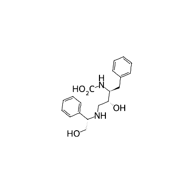 O=C(O)N[C@@H](Cc1ccccc1)[C@H](O)CN[C@H](CO)c1ccccc1